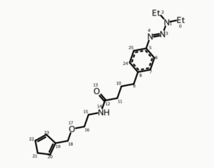 CCN(CC)/N=N/c1ccc(CCCC(=O)NCCOCC2=CCC=C2)cc1